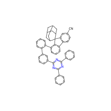 N#Cc1ccc2c(c1)C1(c3c(-c4ccccc4-c4cccc(-c5nc(-c6ccccc6)nc(-c6ccccc6)n5)c4)cccc3-2)C2CC3CC(C2)CC1C3